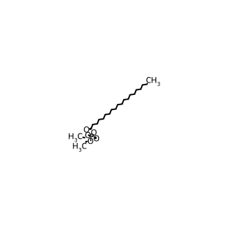 CCCCCCCCCCCCCCCCCCCC(=O)OP(=O)(OCC)OCC